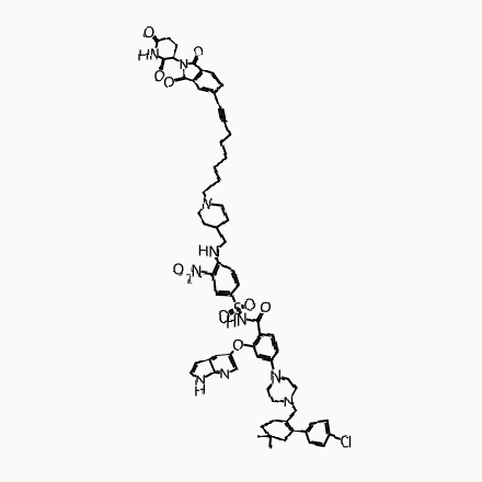 CC1(C)CCC(CN2CCN(c3ccc(C(=O)NS(=O)(=O)c4ccc(NCC5CCN(CCCCCCC#Cc6ccc7c(c6)C(=O)N(C6CCC(=O)NC6=O)C7=O)CC5)c([N+](=O)[O-])c4)c(Oc4cnc5[nH]ccc5c4)c3)CC2)=C(c2ccc(Cl)cc2)C1